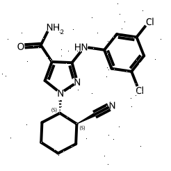 N#C[C@H]1CCCC[C@@H]1n1cc(C(N)=O)c(Nc2cc(Cl)cc(Cl)c2)n1